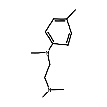 Cc1c[c]c(N(C)CCN(C)C)cc1